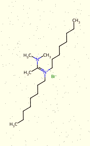 CCCCCCCC[N+](CCCCCCCC)=C(C)N(C)C.[Br-]